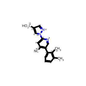 Cc1cccc(-c2cnc(-n3cc(C(=O)O)cn3)cc2C#N)c1C